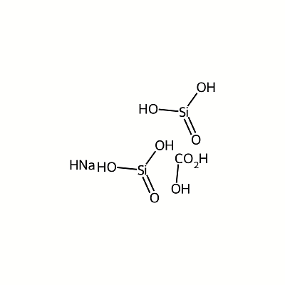 O=C(O)O.O=[Si](O)O.O=[Si](O)O.[NaH]